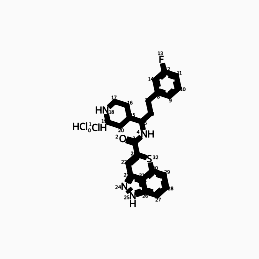 Cl.Cl.O=C(NC(CCc1cccc(F)c1)C1CCNCC1)C1=Cc2n[nH]c3cccc(c23)S1